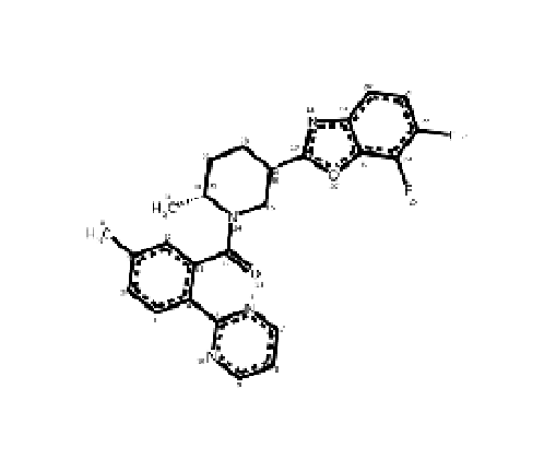 Cc1ccc(-c2ncccn2)c(C(=O)N2C[C@H](c3nc4ccc(F)c(F)c4o3)CC[C@H]2C)c1